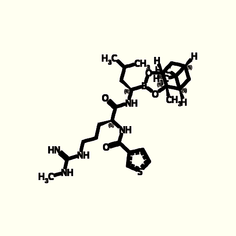 CNC(=N)NCCC[C@H](NC(=O)c1ccsc1)C(=O)N[C@@H](CC(C)C)B1O[C@@H]2C[C@@H]3C[C@@H](C3(C)C)[C@]2(C)O1